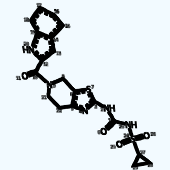 O=C(Nc1nc2c(s1)CN(C(=O)c1cc3ccccc3[nH]1)CC2)NS(=O)(=O)C1CC1